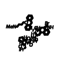 CC(C)C[C@H]1C(=O)N2CCC[C@H]2[C@]2(O)O[C@](NC(=O)[C@@H]3C=C4c5cccc6[nH]c(Br)c(c56)C[C@H]4N(C)C3)(C(C)C)C(=O)N12.CNCCCCOc1ccccc1Cc1ccccc1